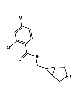 O=C(NCC1C2CNCC21)c1ccc(Cl)cc1Cl